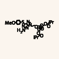 COc1ccc(Sc2nc(N)nc3c2ncn3CCOCP(=O)(OCOC(=O)C(C)C)OCOC(=O)C(C)C)cc1